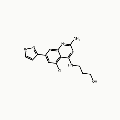 Nc1nc(NCCCO)c2c(Cl)cc(-c3cc[nH]n3)cc2n1